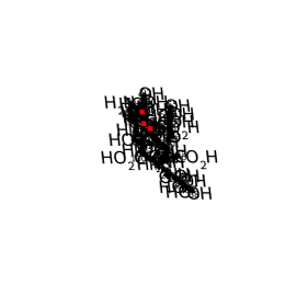 Nc1cc2ncc(CNc3ccc(C(=O)N[C@H](CCC(=O)N[C@@H](CCC(=O)NC[C@H](O)[C@@H](O)[C@H](O)[C@H](O)CO)C(=O)N[C@H](CCC(=O)O)C(=O)N[C@@H](CCC(=O)NC[C@H](O)[C@@H](O)[C@H](O)[C@H](O)CO)C(=O)N[C@H](CCC(=O)O)C(=O)N[C@@H](CCC(=O)NC[C@H](O)[C@@H](O)[C@H](O)[C@H](O)CO)C(=O)N[C@H](CS)C(=O)O)C(=O)O)cc3)nc2c(=O)[nH]1